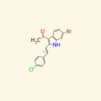 CC(=O)c1c(/C=C/c2ccc(Cl)cc2)[nH]c2cc(Br)ccc12